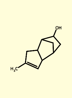 CC1=CC2C3CC(O)C(C3)C2C1